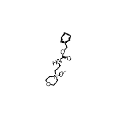 O=C(NCC[N+]1([O-])CCOCC1)OCc1ccccc1